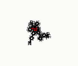 N#Cc1ccc(-c2ccc(-n3c4ccccc4c4cc(C(F)(F)F)ccc43)c(-c3cc(-n4c5ccccc5c5cc(C(F)(F)F)ccc54)ccc3-c3nc(-c4ccccc4)nc(-c4ccccc4)n3)c2)cc1